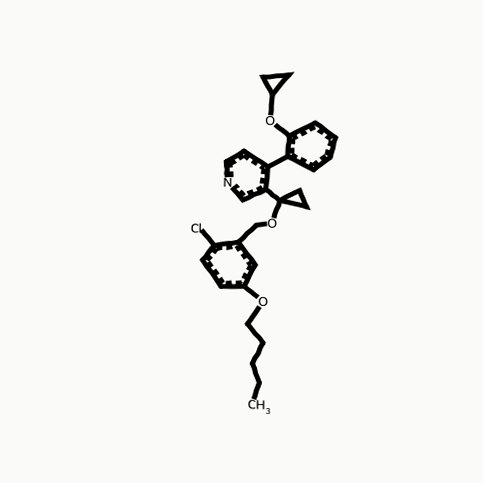 CCCCCOc1ccc(Cl)c(COC2(c3cnccc3-c3ccccc3OC3CC3)CC2)c1